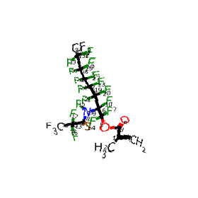 C=C(C)C(=O)OC(F)(F)C(F)(N(F)C(=S)C(F)(F)C(F)(F)F)C(F)(F)C(F)(F)C(F)(F)C(F)(F)C(F)(F)C(F)(F)F